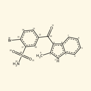 Cc1[nH]c2ccccc2c1C(=O)c1ccc(Br)c(S(N)(=O)=O)c1